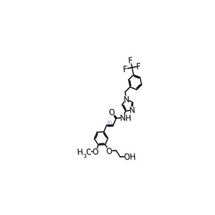 COc1ccc(/C=C/C(=O)Nc2cn(Cc3cccc(C(F)(F)F)c3)cn2)cc1OCCO